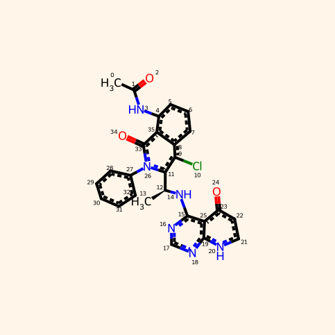 CC(=O)Nc1cccc2c(Cl)c([C@H](C)Nc3ncnc4[nH]ccc(=O)c34)n(-c3ccccc3)c(=O)c12